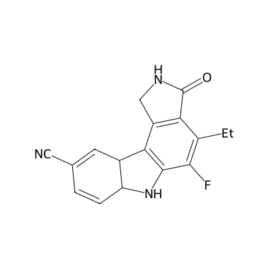 CCc1c(F)c2c(c3c1C(=O)NC3)C1C=C(C#N)C=CC1N2